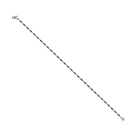 C#CC#CC#CC#CC#CC#CC#CC#CC#CC#CC#CC#CC#CC#CC#CC#CC#CC#CC#CC#CC#CC#CC#CC#CC#CC#CC#CC#CC#CC#CC#CC#N